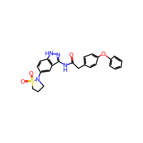 O=C(Cc1ccc(Oc2ccccc2)cc1)Nc1n[nH]c2ccc(N3CCCS3(=O)=O)cc12